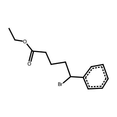 CCOC(=O)CCCC(Br)c1ccccc1